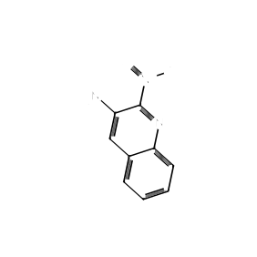 Nc1cc2ccccc2nc1[N+](=O)[O-]